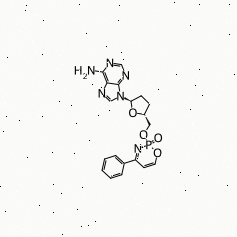 Nc1ncnc2c1ncn2[C@H]1CC[C@@H](COP2(=O)N=C(c3ccccc3)C=CO2)O1